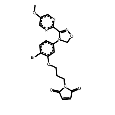 COc1cnc(C2=NOCN2c2ccc(Br)c(OCCCN3C(=O)C=CC3=O)c2)nc1